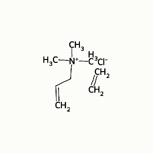 C=C.C=CC[N+](C)(C)C.[Cl-]